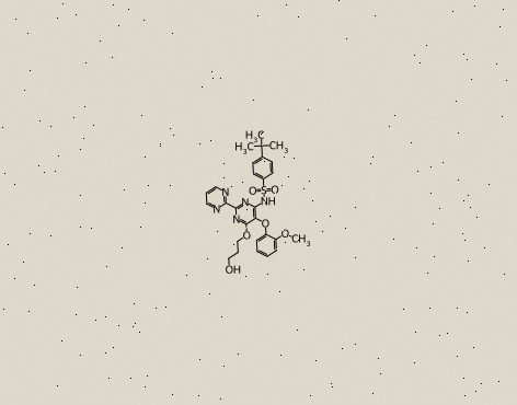 COc1ccccc1Oc1c(NS(=O)(=O)c2ccc(C(C)(C)C)cc2)nc(-c2ncccn2)nc1OCCCO